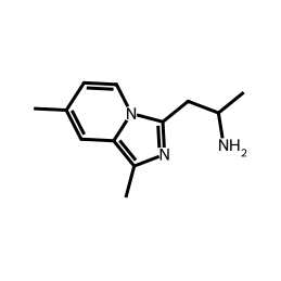 Cc1ccn2c(CC(C)N)nc(C)c2c1